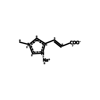 Cn1cnc(/C=C/C(=O)[O-])c1.[Na+]